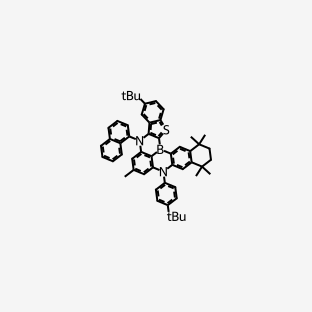 Cc1cc2c3c(c1)N(c1cccc4ccccc14)c1c(sc4ccc(C(C)(C)C)cc14)B3c1cc3c(cc1N2c1ccc(C(C)(C)C)cc1)C(C)(C)CCC3(C)C